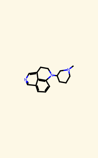 CN1CCCC(N2CCc3cncc4cccc2c34)C1